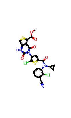 COC(=O)c1scc2[nH]c(=O)n(-c3cc(C(=O)N(c4cccc(C#N)c4Cl)C4CC4)sc3Cl)c(=O)c12